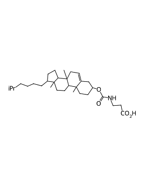 CC(C)CCCCC1CCC2C1(C)CCC1C3(C)CCC(OC(=O)NCCC(=O)O)CC3=CCC12C